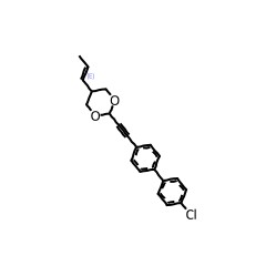 C/C=C/C1COC(C#Cc2ccc(-c3ccc(Cl)cc3)cc2)OC1